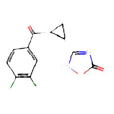 O=C(c1ccc(Cl)c(Cl)c1)[C@H]1C[C@@H]1c1nc(=O)o[nH]1